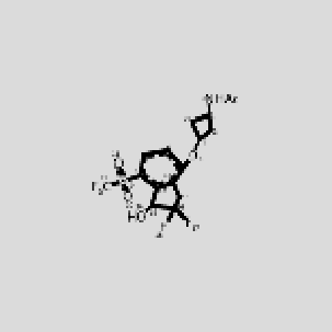 CC(=O)N[C@H]1C[C@@H](Oc2ccc(S(=O)(=O)C(F)(F)F)c3c2CC(F)(F)[C@H]3O)C1